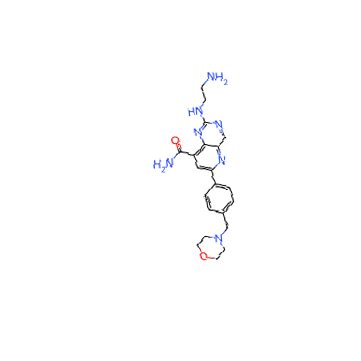 NCCNc1ncc2nc(-c3ccc(CN4CCOCC4)cc3)cc(C(N)=O)c2n1